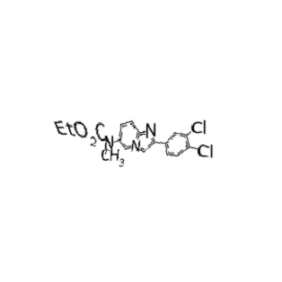 CCOC(=O)N(C)c1ccc2nc(-c3ccc(Cl)c(Cl)c3)cn2c1